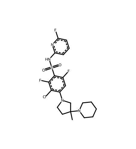 CC1(N2CCCCC2)CCN(c2cc(F)c(S(=O)(=O)Nc3cccc(F)n3)c(F)c2Cl)C1